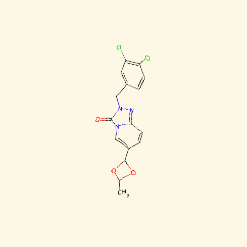 CC1OC(c2ccc3nn(Cc4ccc(Cl)c(Cl)c4)c(=O)n3c2)O1